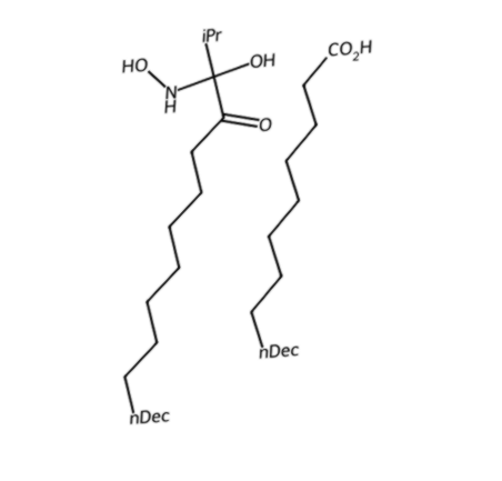 CCCCCCCCCCCCCCCCCC(=O)C(O)(NO)C(C)C.CCCCCCCCCCCCCCCCCC(=O)O